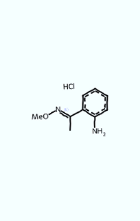 CO/N=C(\C)c1ccccc1N.Cl